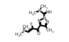 Cc1nn(C(=N)N(C)C)nc1C(=O)/C(F)=C/N(C)C